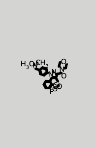 CN(C)Cc1ccc(-n2nc(C(=O)N3CCOCC3)c3c2-c2cccc(F)c2S(=O)(=O)C3)cc1